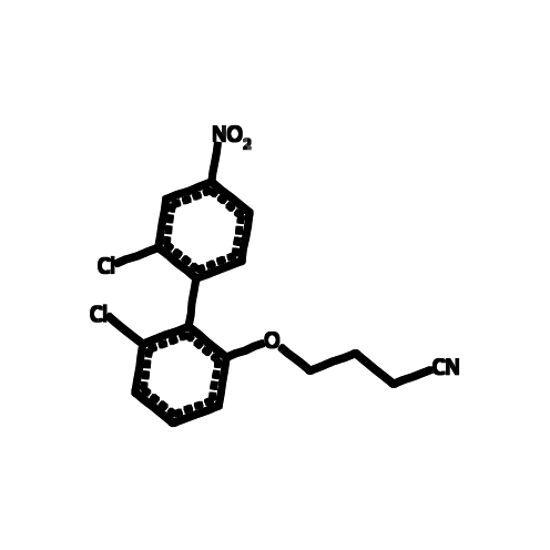 N#CCCCOc1cccc(Cl)c1-c1ccc([N+](=O)[O-])cc1Cl